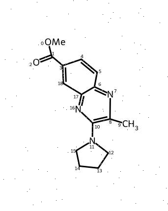 COC(=O)c1ccc2nc(C)c(N3CCCC3)nc2c1